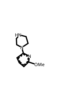 COc1cccc(N2CCNCC2)n1